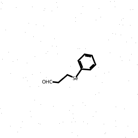 O=CCC[Se]c1ccccc1